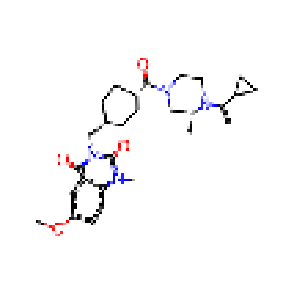 C=C(C1CC1)N1CCN(C(=O)[C@H]2CC[C@H](Cn3c(=O)c4cc(OC)ccc4n(C)c3=O)CC2)C[C@@H]1C